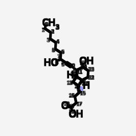 CCCCCCCC(O)C#C[C@@H]1[C@H]2C/C(=C\CCC(=O)O)[C@H]2CC[C@H]1O